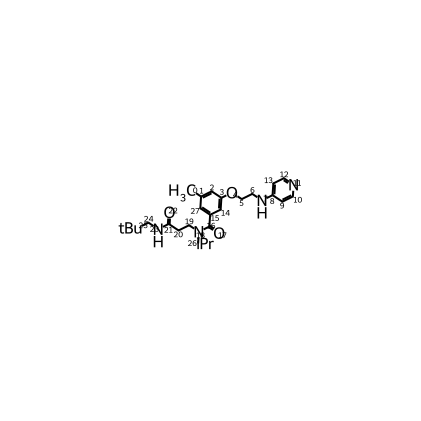 Cc1cc(OCCNc2ccncc2)cc(C(=O)N(CCC(=O)NCC(C)(C)C)C(C)C)c1